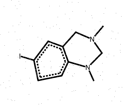 CN1Cc2cc(I)ccc2N(C)C1